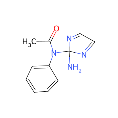 CC(=O)N(c1ccccc1)C1(N)N=CC=N1